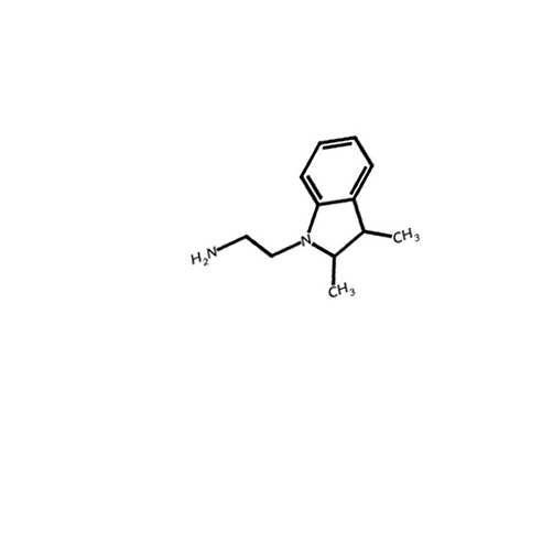 CC1c2ccccc2N(CCN)C1C